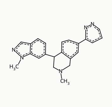 CN1Cc2cc(-c3cccnn3)ccc2C(c2ccc3cnn(C)c3c2)C1